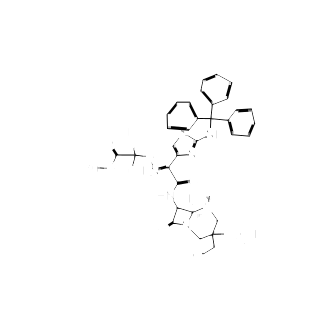 CC(C)(C)OC(=O)C(C)(C)ON=C(C(=O)NC1C(=O)N2CC(CCl)(C(=O)O)C[S+]([O-])[C@H]12)c1csc(NC(c2ccccc2)(c2ccccc2)c2ccccc2)n1